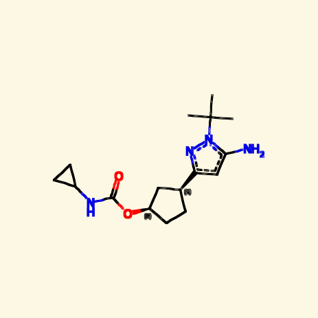 CC(C)(C)n1nc([C@H]2CC[C@@H](OC(=O)NC3CC3)C2)cc1N